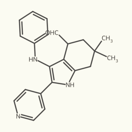 CC1(C)Cc2[nH]c(-c3ccncc3)c(Nc3ccccc3)c2C(C=O)C1